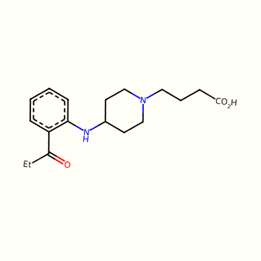 CCC(=O)c1ccccc1NC1CCN(CCCC(=O)O)CC1